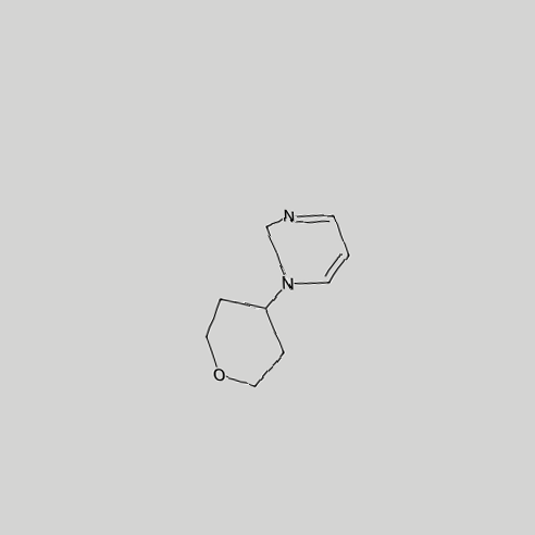 C1=CN(C2CCOCC2)CN=C1